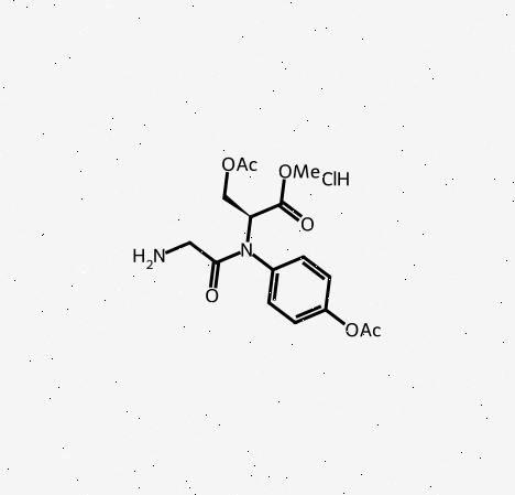 COC(=O)[C@H](COC(C)=O)N(C(=O)CN)c1ccc(OC(C)=O)cc1.Cl